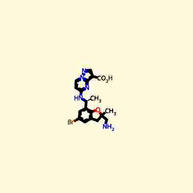 C[C@@H](Nc1ccn2ncc(C(=O)O)c2n1)c1cc(Br)cc2c1OC(C)(CN)C2